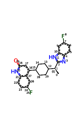 C[C@H](c1nc2ccc(F)cc2[nH]1)C1CCC(c2cc(=O)[nH]c3ccc(F)cc23)CC1